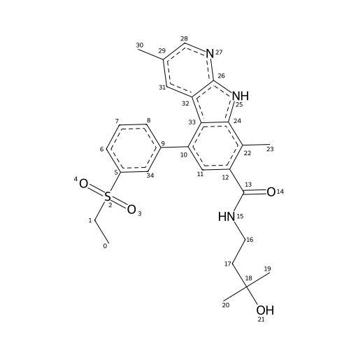 CCS(=O)(=O)c1cccc(-c2cc(C(=O)NCCC(C)(C)O)c(C)c3[nH]c4ncc(C)cc4c23)c1